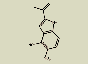 C=C(C)c1cc2c(C#N)c([N+](=O)[O-])ccc2[nH]1